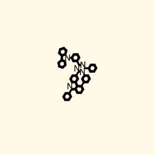 c1ccc(-c2nc(-c3cccc(-n4c5ccccc5c5ccccc54)c3)nc(-c3ccc4nc(-c5ccccc5)c5cccc(-c6ccccc6)c5c4c3)n2)cc1